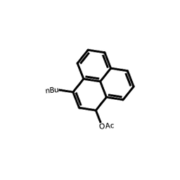 CCCCC1=CC(OC(C)=O)c2cccc3cccc1c23